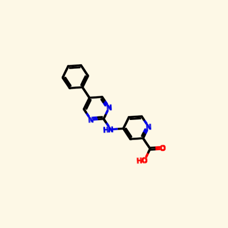 O=C(O)c1cc(Nc2ncc(-c3ccccc3)cn2)ccn1